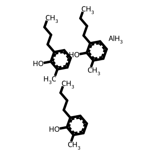 CCCCc1cccc(C)c1O.CCCCc1cccc(C)c1O.CCCCc1cccc(C)c1O.[AlH3]